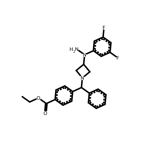 CCOC(=O)c1ccc(C(c2ccccc2)N2CC(N(N)c3cc(F)cc(F)c3)C2)cc1